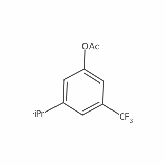 C[C](C)c1cc(OC(C)=O)cc(C(F)(F)F)c1